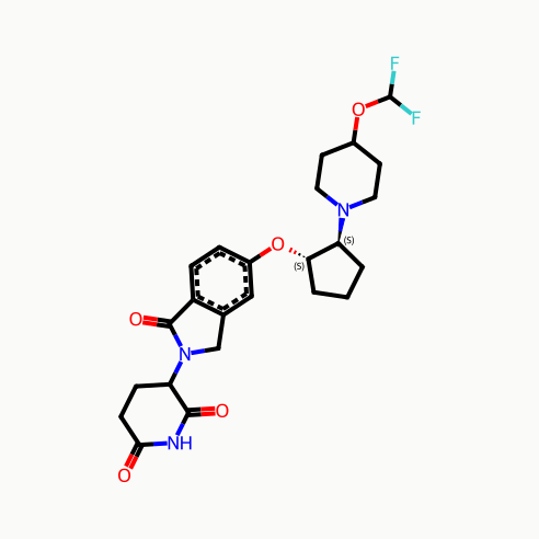 O=C1CCC(N2Cc3cc(O[C@H]4CCC[C@@H]4N4CCC(OC(F)F)CC4)ccc3C2=O)C(=O)N1